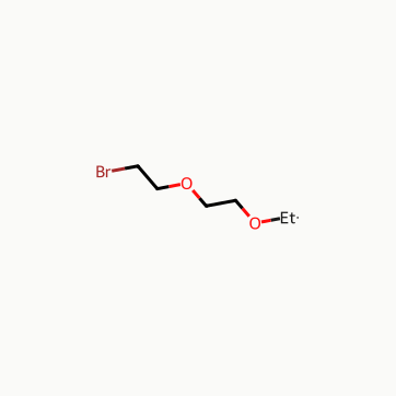 C[CH]OCCOCCBr